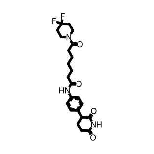 O=C1CCC(c2ccc(NC(=O)CCCCCC(=O)N3CCC(F)(F)CC3)cc2)C(=O)N1